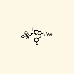 CNC1Cc2cc(F)c(C3CN(S(=O)(=O)C4CCC4)C3)cc2C1Cc1cccc(F)c1